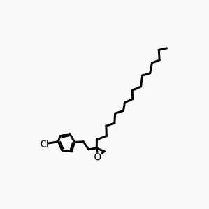 CCCCCCCCCCCCCCCCC1(CCc2ccc(Cl)cc2)CO1